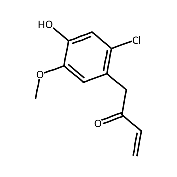 C=CC(=O)Cc1cc(OC)c(O)cc1Cl